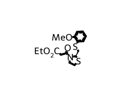 CCOC(=O)CC(=O)N1CCS[C@@H]1CSc1ccccc1OC